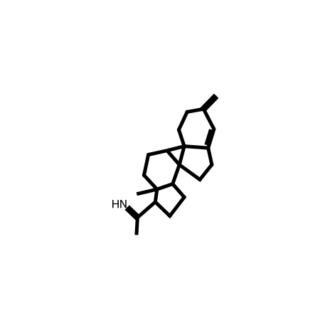 C=C1C=C2CCC34C5CCC(C(C)=N)C5(C)CCC3C24CC1